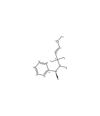 COC=CC(C)(C)C(C)[C@@H](C)c1ccccc1